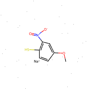 COc1ccc(S)c([N+](=O)[O-])c1.[Na+]